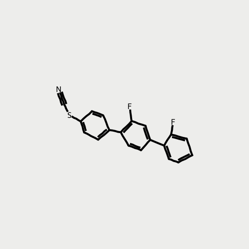 N#CSc1ccc(-c2ccc(-c3ccccc3F)cc2F)cc1